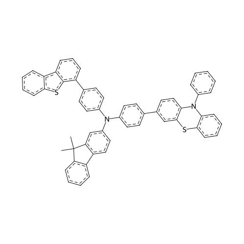 CC1(C)c2ccccc2-c2ccc(N(c3ccc(-c4ccc5c(c4)Sc4ccccc4N5c4ccccc4)cc3)c3ccc(-c4cccc5c4sc4ccccc45)cc3)cc21